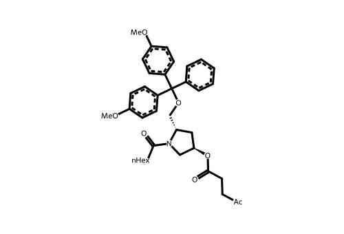 CCCCCCC(=O)N1C[C@H](OC(=O)CCC(C)=O)C[C@H]1COC(c1ccccc1)(c1ccc(OC)cc1)c1ccc(OC)cc1